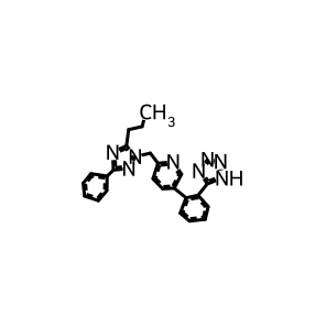 CCCc1nc(-c2ccccc2)nn1Cc1ccc(-c2ccccc2-c2nnn[nH]2)cn1